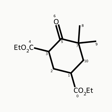 CCOC(=O)C1CC(C(=O)OCC)C(=O)C(C)(C)C1